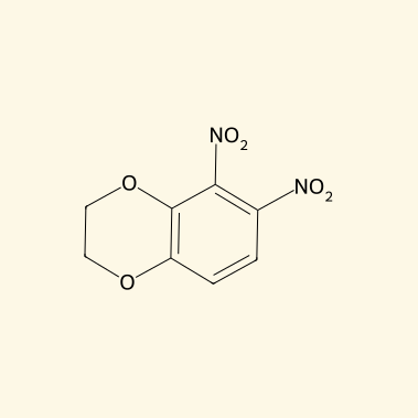 O=[N+]([O-])c1ccc2c(c1[N+](=O)[O-])OCCO2